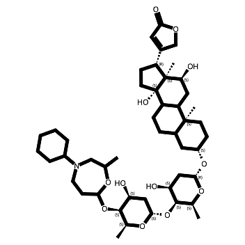 CC1CN(C2CCCCC2)CCC(O[C@@H]2[C@H](C)O[C@@H](O[C@@H]3[C@H](C)O[C@@H](O[C@H]4CC[C@@]5(C)C(CCC6C5C[C@H](O)[C@]5(C)[C@@H](C7=CC(=O)OC7)CC[C@]65O)C4)C[C@@H]3O)C[C@@H]2O)O1